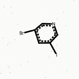 Brc1cn[c]c(I)c1